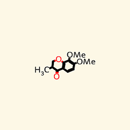 COc1ccc2c(c1OC)OCC(C)C2=O